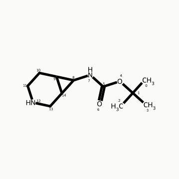 CC(C)(C)OC(=O)NC1C2CCNCC21